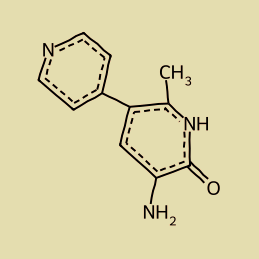 Cc1[nH]c(=O)c(N)cc1-c1ccncc1